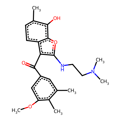 COc1cc(C(=O)c2c(NCCN(C)C)oc3c(O)c(C)ccc23)cc(C)c1C